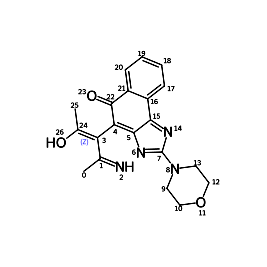 CC(=N)/C(C1=C2N=C(N3CCOCC3)N=C2c2ccccc2C1=O)=C(/C)O